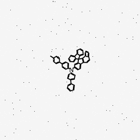 Cc1ccc(-c2ccc(N(c3ccc(-c4ccccc4)cc3)c3ccc4c(c3)C3(c5ccccc5-c5ccccc53)c3c-4ccc4ccccc34)cc2)cc1